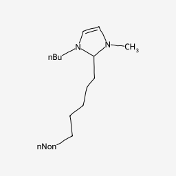 CCCCCCCCCCCCCCC1N(C)C=CN1CCCC